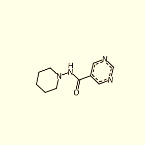 O=C(NN1CCCCC1)c1cncnc1